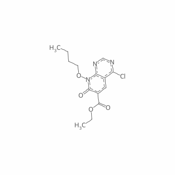 CCCCOn1c(=O)c(C(=O)OCC)cc2c(Cl)ncnc21